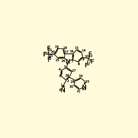 N#Cc1ccc(-n2c3cc(C(F)(F)F)ccc3c3ccc(C(F)(F)F)cc32)cc1-c1ccncc1